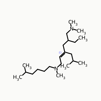 CCC(C/C(=C/CN(C)CCCCC(C)C)CC(C)C)CN(C)C